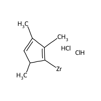 CC1=CC(C)[C]([Zr])=C1C.Cl.Cl